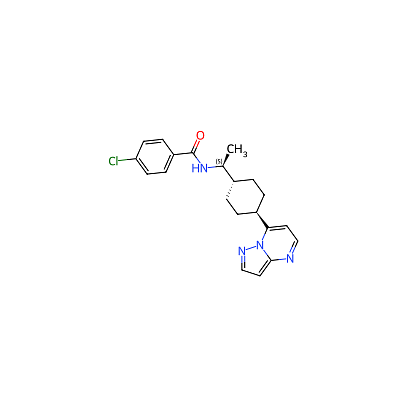 C[C@H](NC(=O)c1ccc(Cl)cc1)[C@H]1CC[C@H](c2ccnc3ccnn32)CC1